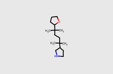 CC(C)(CCC(C)(C)C1CCCO1)C1CCNC1